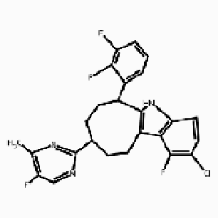 Cc1nc(C2CCc3c([nH]c4ccc(Cl)c(F)c34)C(c3cccc(F)c3F)CC2)ncc1F